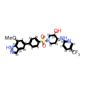 COc1cc(-c2ccc(S(=O)(=O)N3CC[C@@H](Nc4ccc(C(F)(F)F)cn4)[C@@H](O)C3)cc2)cc2cn[nH]c12